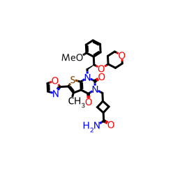 COc1ccccc1[C@H](Cn1c(=O)n(CC2CC(C(N)=O)C2)c(=O)c2c(C)c(-c3ncco3)sc21)OC1CCOCC1